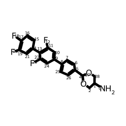 NC1COC(c2ccc(-c3cc(F)c(-c4ccc(F)c(F)c4)c(F)c3)cc2)OC1